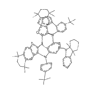 CC(C)(C)c1ccc(N2c3cc(N4c5ccccc5C5(C)CCCCC45C)cc4c3B(c3oc5cc6c(cc5c32)C(C)(C)CCC6(C)C)c2oc3cc5c(cc3c2N4c2ccc(C(C)(C)C)cc2-c2ccccc2)C(C)(C)CCC5(C)C)cc1